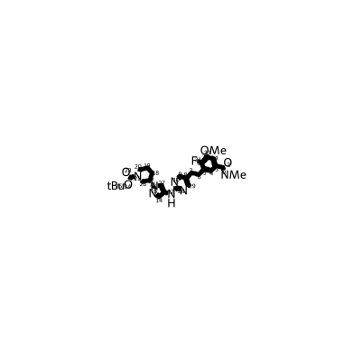 CNC(=O)c1cc(CCc2cnc(Nc3cnn(C4CCCN(C(=O)OC(C)(C)C)C4)c3)nc2)c(F)c(OC)c1